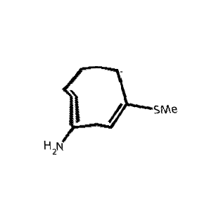 CSC1=CC(N)=CC[CH]1